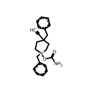 C#CC1(Cc2ccccc2)CC[N+](Cc2ccccc2)(OC(N)=O)CC1